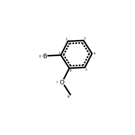 [B]c1ccccc1OC